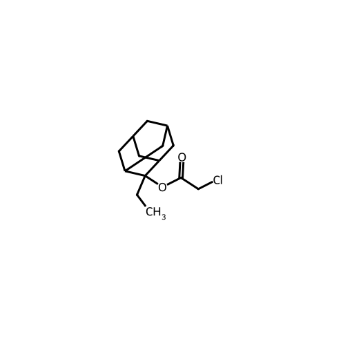 CCC1(OC(=O)CCl)C2CC3CC(C2)CC1C3